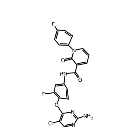 Nc1ncc(Cl)c(Oc2ccc(NC(=O)c3cccn(-c4ccc(F)cc4)c3=O)cc2F)n1